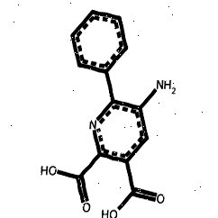 Nc1cc(C(=O)O)c(C(=O)O)nc1-c1ccccc1